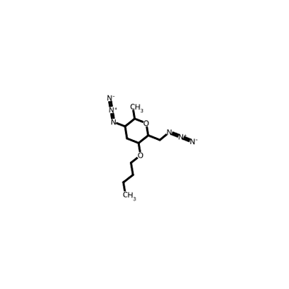 CCCCOC1CC(N=[N+]=[N-])C(C)OC1CN=[N+]=[N-]